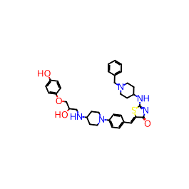 O=C1N=C(NC2CCN(Cc3ccccc3)CC2)SC1=Cc1ccc(N2CCC(NCC(O)COc3ccc(O)cc3)CC2)cc1